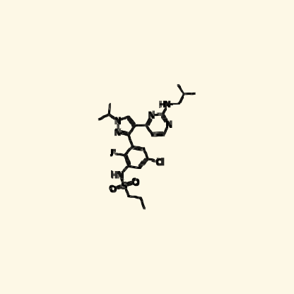 CCCS(=O)(=O)Nc1cc(Cl)cc(-c2nn(C(C)C)cc2-c2ccnc(NCC(C)C)n2)c1F